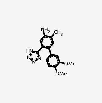 COc1ccc(-c2cc(C)c(N)cc2-c2nnn[nH]2)cc1OC